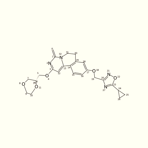 C=C1N=C(OC[C@H]2COCCO2)C=C2c3ccc(OCc4noc(C5CC5)n4)cc3CCN12